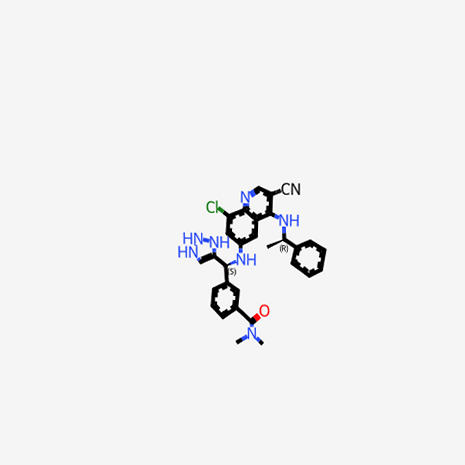 C[C@@H](Nc1c(C#N)cnc2c(Cl)cc(N[C@H](C3=CNNN3)c3cccc(C(=O)N(C)C)c3)cc12)c1ccccc1